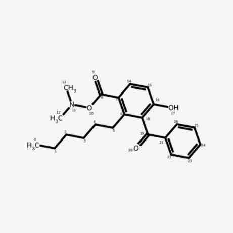 CCCCCCc1c(C(=O)ON(C)C)ccc(O)c1C(=O)c1ccccc1